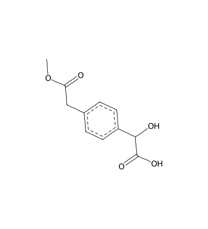 COC(=O)Cc1ccc(C(O)C(=O)O)cc1